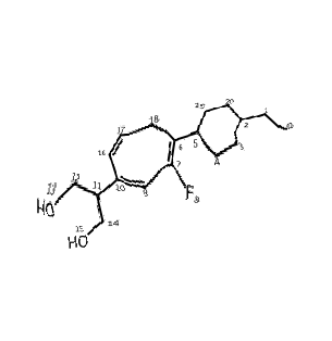 CCC1CCC(C2=C(F)C=C(C(CO)CO)C=CC2)CC1